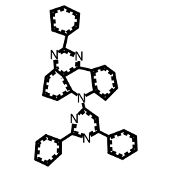 c1ccc(-c2cc(N3c4ccccc4-c4nc(-c5ccccc5)nc5cccc3c45)nc(-c3ccccc3)n2)cc1